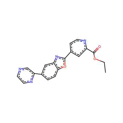 CCOC(=O)c1cc(-c2nc3cc(-c4cnccn4)ccc3o2)ccn1